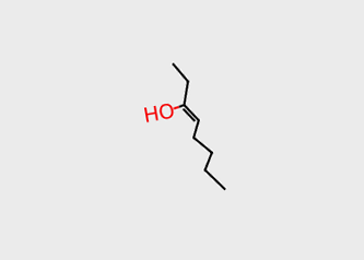 CCCCC=C(O)CC